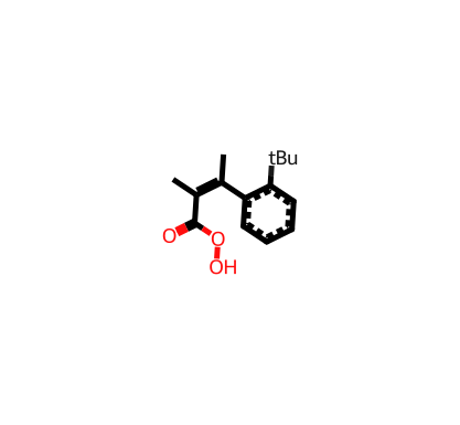 CC(C(=O)OO)=C(C)c1ccccc1C(C)(C)C